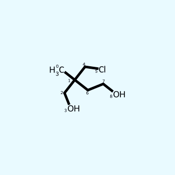 CC(CO)(CCl)CCO